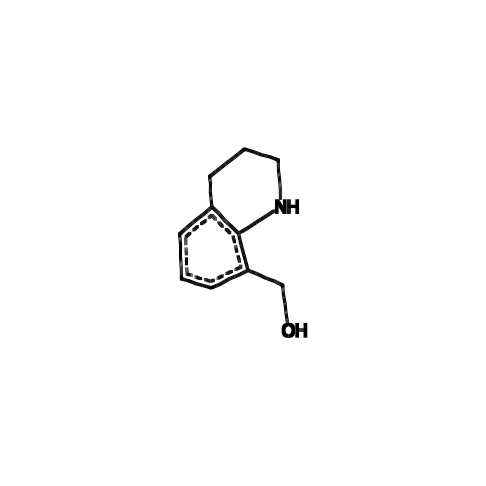 OCc1cccc2c1NCCC2